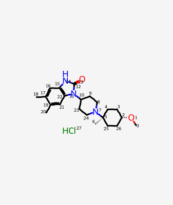 CO[C@H]1CC[C@](C)(N2CCC(n3c(=O)[nH]c4cc(C)c(C)cc43)CC2)CC1.Cl